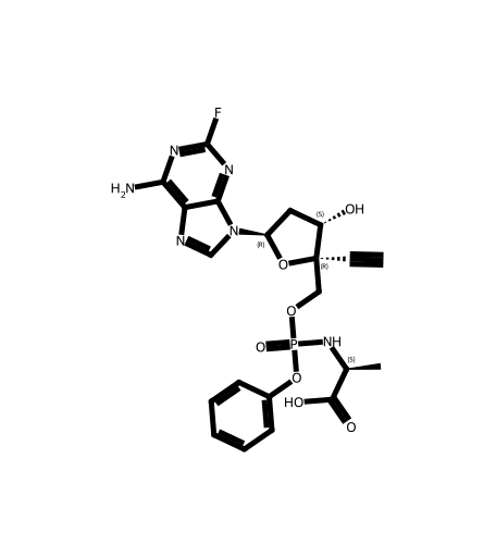 C#C[C@]1(COP(=O)(N[C@@H](C)C(=O)O)Oc2ccccc2)O[C@@H](n2cnc3c(N)nc(F)nc32)C[C@@H]1O